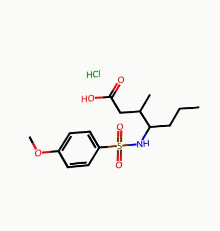 CCCC(NS(=O)(=O)c1ccc(OC)cc1)C(C)CC(=O)O.Cl